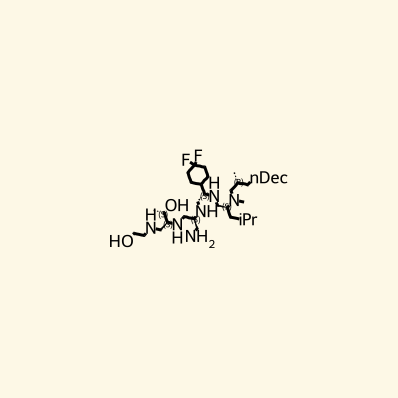 CCCCCCCCCCC[C@@H](C)CN(C)[C@H](CN[C@H](CN[C@@H](CN)CN[C@@H](CNCCO)[C@H](C)O)C1CCC(F)(F)CC1)CC(C)C